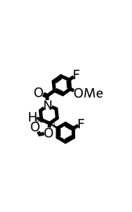 COc1cc(C(=O)N2CC[C@]3(c4cccc(F)c4)OCO[C@@H]3C2)ccc1F